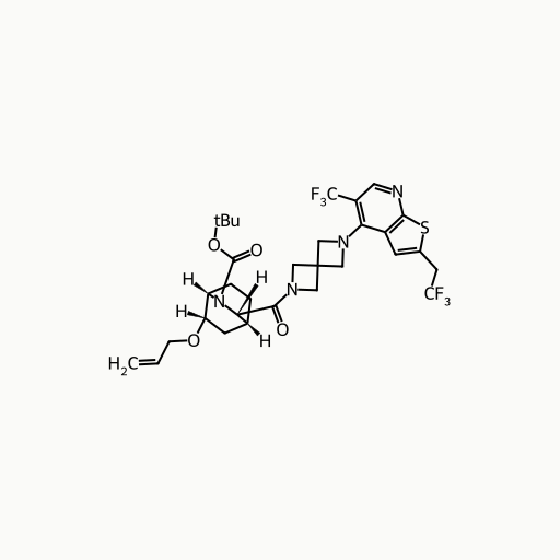 C=CCO[C@H]1C[C@H]2CC[C@@H]1N(C(=O)OC(C)(C)C)[C@@H]2C(=O)N1CC2(C1)CN(c1c(C(F)(F)F)cnc3sc(CC(F)(F)F)cc13)C2